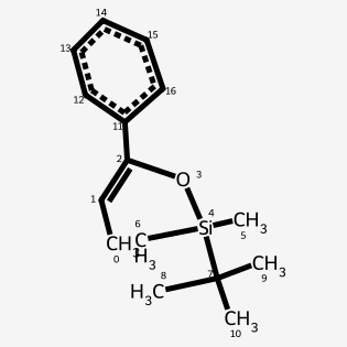 CC=C(O[Si](C)(C)C(C)(C)C)c1ccccc1